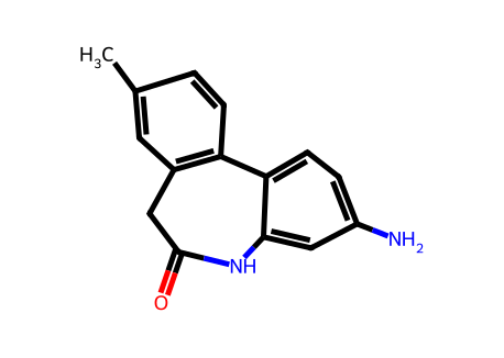 Cc1ccc2c(c1)CC(=O)Nc1cc(N)ccc1-2